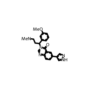 CNCCC(c1cccc(OC)c1)n1cnc2ccc(-c3cn[nH]c3)cc2c1=O